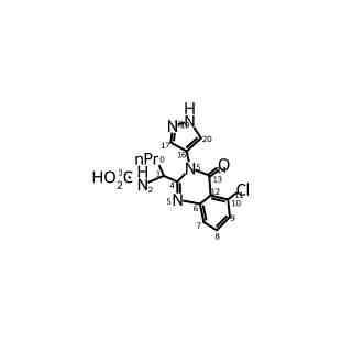 CCCC(NC(=O)O)c1nc2cccc(Cl)c2c(=O)n1-c1cn[nH]c1